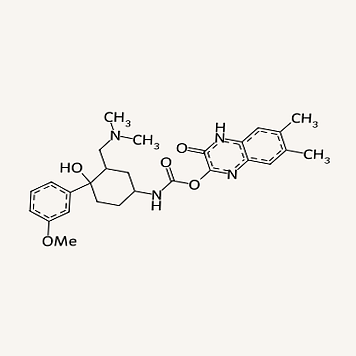 COc1cccc(C2(O)CCC(NC(=O)Oc3nc4cc(C)c(C)cc4[nH]c3=O)CC2CN(C)C)c1